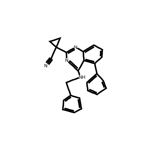 N#CC1(c2nc(NCc3ccccc3)c3c(-c4ccccc4)cccc3n2)CC1